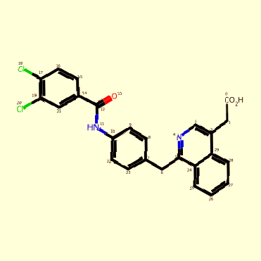 O=C(O)Cc1cnc(Cc2ccc(NC(=O)c3ccc(Cl)c(Cl)c3)cc2)c2ccccc12